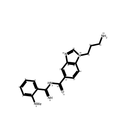 CNc1ccccc1C(=N)NC(=O)c1ccc2c(c1)ncn2CCCN